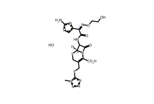 Cl.Cn1nnnc1SCC1=C(C(=O)O)N2C(=O)C(NC(=O)/C(=N\OCCO)c3csc(N)n3)[C@H]2SC1